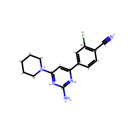 N#Cc1ccc(-c2cc(N3CCCCC3)nc(N)n2)cc1F